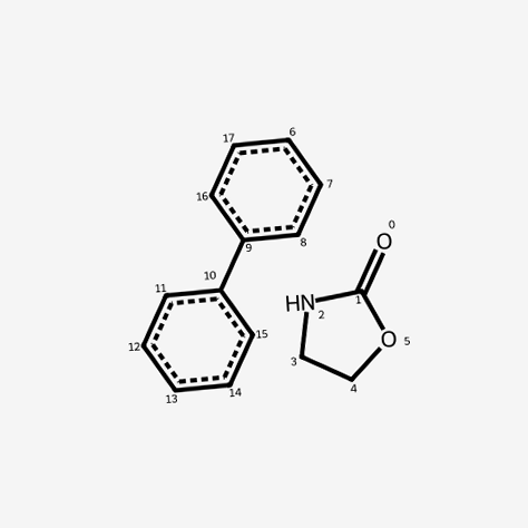 O=C1NCCO1.c1ccc(-c2ccccc2)cc1